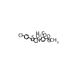 COC(=O)c1ccc(N2CCc3cc(-c4ccc(Cl)cc4)sc3C2=O)cc1OC